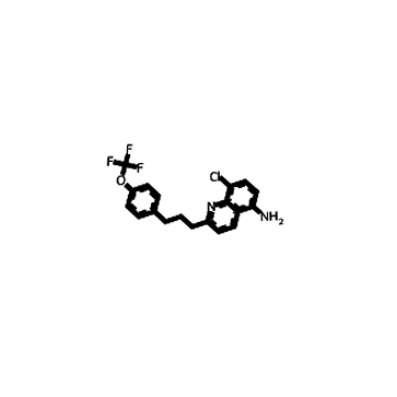 Nc1ccc(Cl)c2nc(CCCc3ccc(OC(F)(F)F)cc3)ccc12